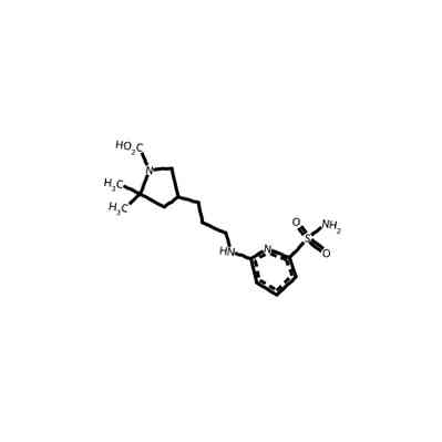 CC1(C)CC(CCCNc2cccc(S(N)(=O)=O)n2)CN1C(=O)O